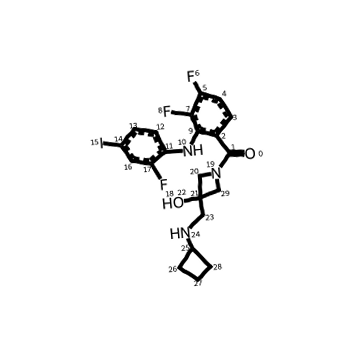 O=C(c1ccc(F)c(F)c1Nc1ccc(I)cc1F)N1CC(O)(CNC2CCC2)C1